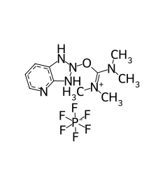 CN(C)C(ON1Nc2cccnc2N1)=[N+](C)C.F[P-](F)(F)(F)(F)F